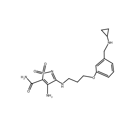 NC(=O)C1=C(N)C(NCCCOc2cccc(CNC3CC3)c2)=NS1(=O)=O